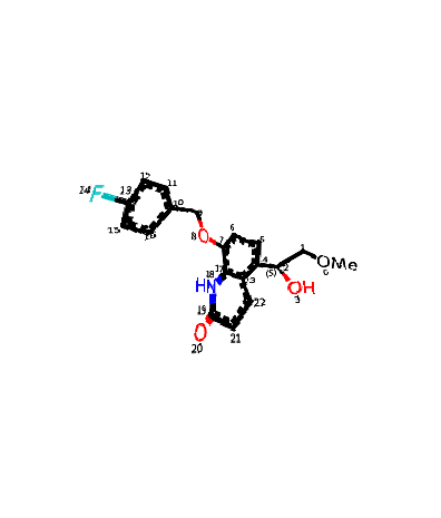 COC[C@@H](O)c1ccc(OCc2ccc(F)cc2)c2[nH]c(=O)ccc12